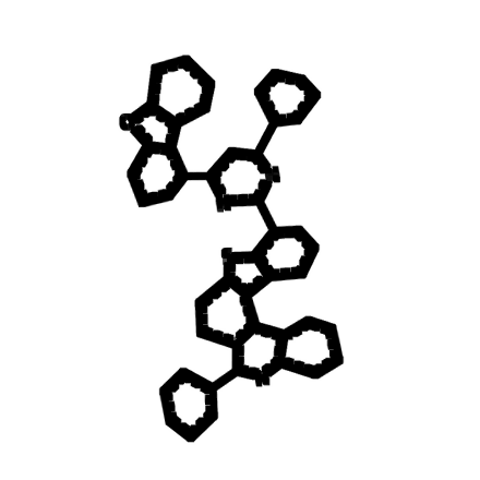 c1ccc(-c2cc(-c3cccc4oc5ccccc5c34)nc(-c3cccc4c3sc3ccc5c(-c6ccccc6)nc6ccccc6c5c34)n2)cc1